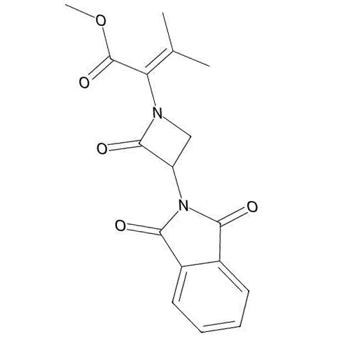 COC(=O)C(=C(C)C)N1CC(N2C(=O)c3ccccc3C2=O)C1=O